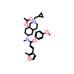 COc1cccc([C@@]23CCN(CC4CC4)C[C@@]2(OC(C)=O)CC[C@@H](N(C)C(=O)/C=C/c2ccoc2C)C3)c1